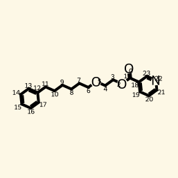 O=C(OCCOCCCCCCc1ccccc1)c1cccnc1